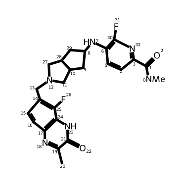 CNC(=O)c1ccc(NC2CC3CN(Cc4ccc5nc(C)c(=O)[nH]c5c4F)CC3C2)c(F)n1